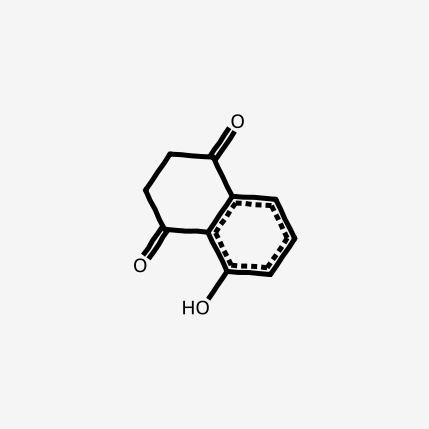 O=C1CCC(=O)c2c(O)cccc21